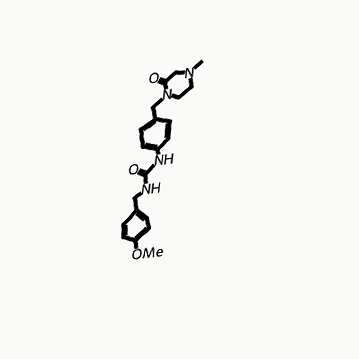 COc1ccc(CNC(=O)Nc2ccc(CN3CCN(C)CC3=O)cc2)cc1